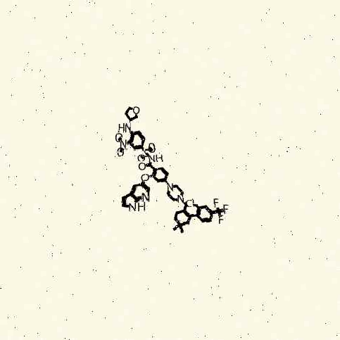 CC1(C)CCC(CN2CCN(c3ccc(C(=O)NS(=O)(=O)c4ccc(N[C@@H]5CCOC5)c([N+](=O)[O-])c4)c(Oc4cnc5[nH]ccc5c4)c3)CC2)=C(c2ccc(C(F)(F)F)cc2Cl)C1